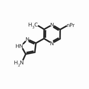 CCCc1cnc(-c2cc(N)[nH]n2)c(C)n1